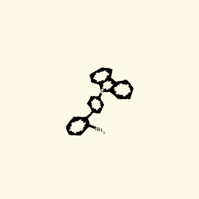 Nc1ccccc1-c1ccc(-n2c3ccccc3c3ccccc32)cc1